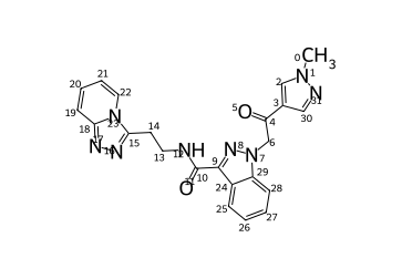 Cn1cc(C(=O)Cn2nc(C(=O)NCCc3nnc4ccccn34)c3ccccc32)cn1